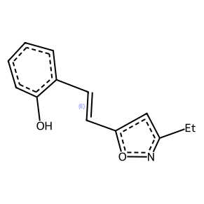 CCc1cc(/C=C/c2ccccc2O)on1